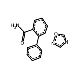 NC(=O)c1ccccc1-c1ccccc1.c1ncon1